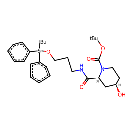 CC(C)(C)OC(=O)N1CC[C@@H](O)C[C@H]1C(=O)NCCCO[Si](c1ccccc1)(c1ccccc1)C(C)(C)C